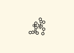 c1ccc(-c2cccc(-c3nc(-c4cc5ccccc5c5ccccc45)nc(-c4cc(-n5c6ccccc6c6cc7ccccc7cc65)cc5oc6ccccc6c45)n3)c2)cc1